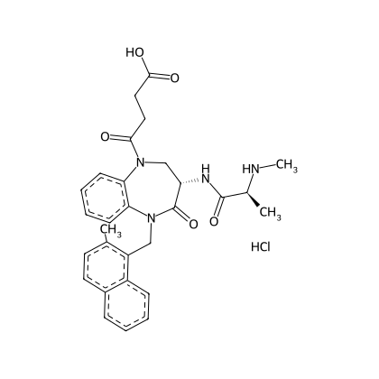 CN[C@@H](C)C(=O)N[C@H]1CN(C(=O)CCC(=O)O)c2ccccc2N(Cc2c(C)ccc3ccccc23)C1=O.Cl